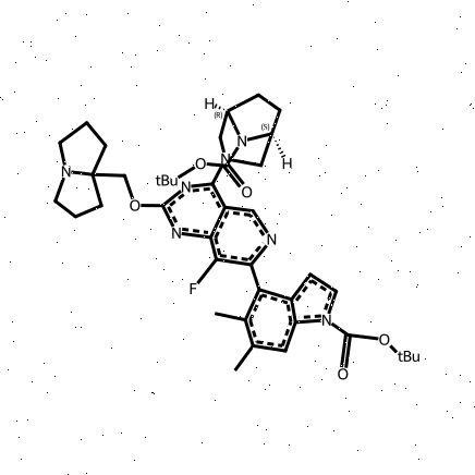 Cc1cc2c(ccn2C(=O)OC(C)(C)C)c(-c2ncc3c(N4C[C@H]5CC[C@@H](C4)N5C(=O)OC(C)(C)C)nc(OCC45CCCN4CCC5)nc3c2F)c1C